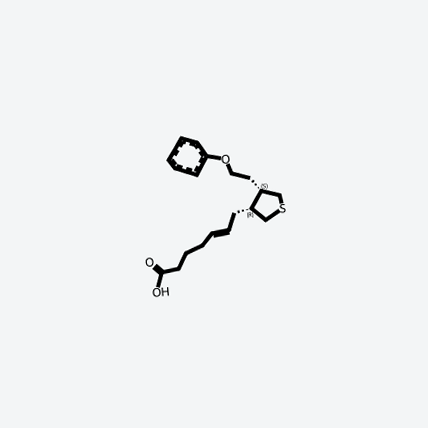 O=C(O)CCCC=CC[C@H]1CSC[C@H]1CCOc1ccccc1